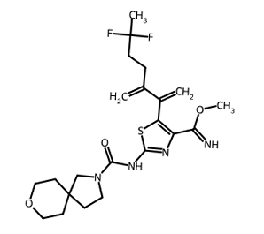 C=C(CCC(C)(F)F)C(=C)c1sc(NC(=O)N2CCC3(CCOCC3)C2)nc1C(=N)OC